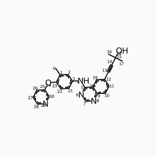 Cc1cc(Nc2ncnc3ccc(C#CC(C)(C)O)cc23)ccc1Oc1cccnc1